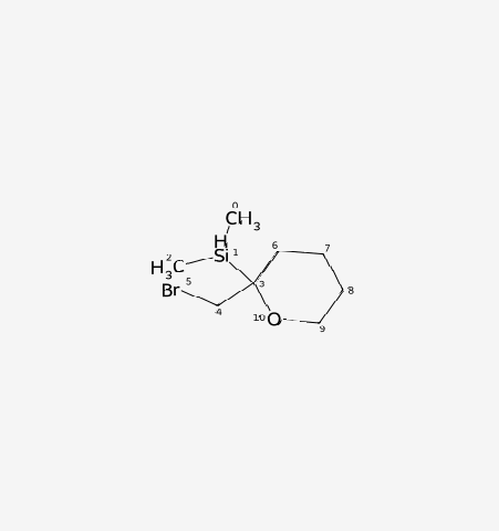 C[SiH](C)C1(CBr)CCCCO1